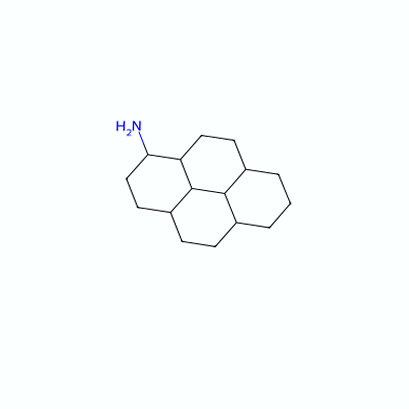 NC1CCC2CCC3CCCC4CCC1C2C34